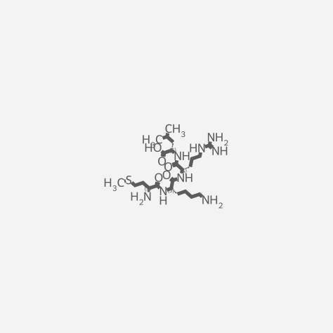 CSCC[C@H](N)C(=O)N[C@@H](CCCCN)C(=O)N[C@@H](CCCNC(=N)N)C(=O)N[C@@H](CC(C)C)C(=O)O